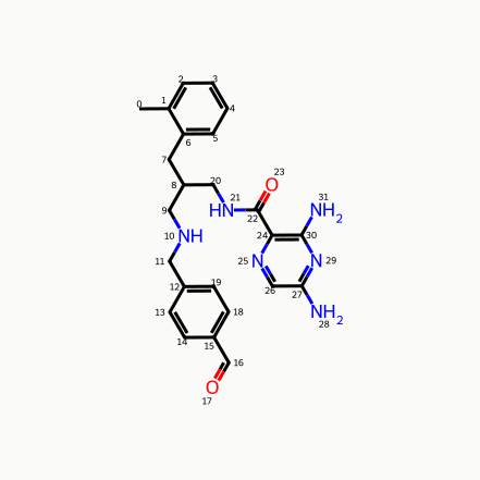 Cc1ccccc1CC(CNCc1ccc(C=O)cc1)CNC(=O)c1ncc(N)nc1N